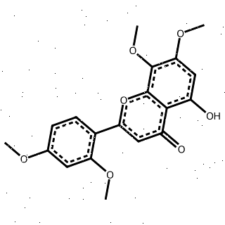 COc1ccc(-c2cc(=O)c3c(O)cc(OC)c(OC)c3o2)c(OC)c1